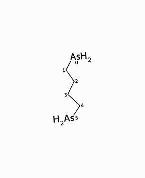 [AsH2]CCCC[AsH2]